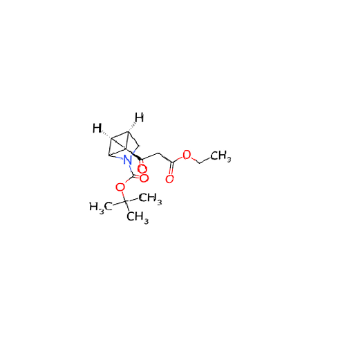 CCOC(=O)CC(=O)[C@@]12C3[C@H]1[C@H]2CN3C(=O)OC(C)(C)C